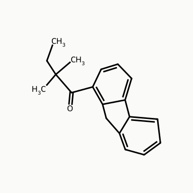 CCC(C)(C)C(=O)c1cccc2c1Cc1ccccc1-2